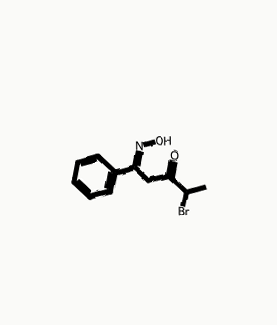 CC(Br)C(=O)CC(=NO)c1ccccc1